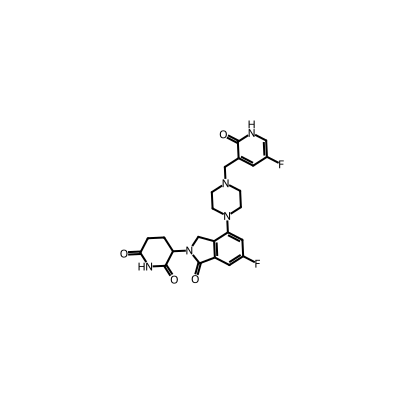 O=C1CCC(N2Cc3c(cc(F)cc3N3CCN(Cc4cc(F)c[nH]c4=O)CC3)C2=O)C(=O)N1